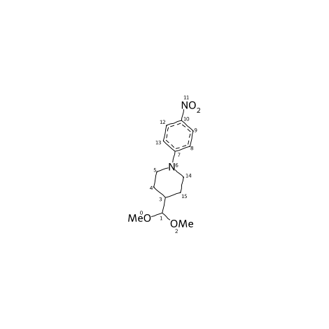 COC(OC)C1CCN(c2ccc([N+](=O)[O-])cc2)CC1